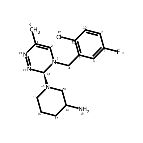 CC1=CN(Cc2cc(F)ccc2Cl)[C@@H](N2CCCC(N)C2)N=N1